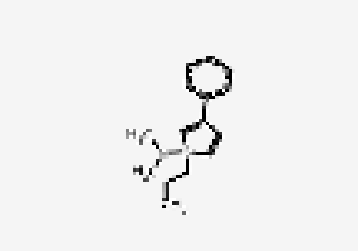 CCCS1(N(C)C)C=CC(c2ccccc2)=C1